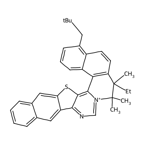 CCC1(C)c2ccc3c(CC(C)(C)C)cccc3c2-c2c3sc4cc5ccccc5cc4c3nc[n+]2C1(C)C